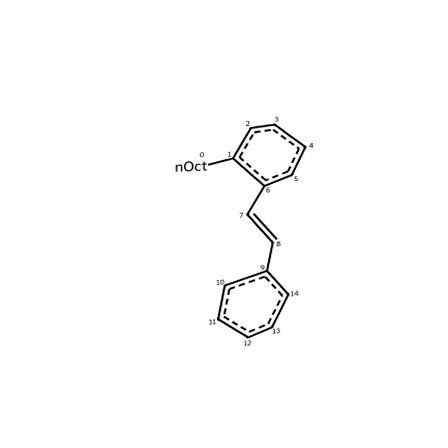 CCCCCCCCc1ccccc1C=Cc1ccccc1